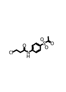 CC(=O)S(=O)(=O)c1ccc(NC(=O)CCCl)cc1